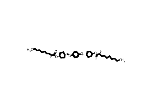 CCCCCCCC[C@@H](F)C(=O)O[C@H]1CC[C@H](COc2ccc(OC[C@H]3CC[C@H](OC(=O)[C@H](F)CCCCCCCC)CC3)cc2)CC1